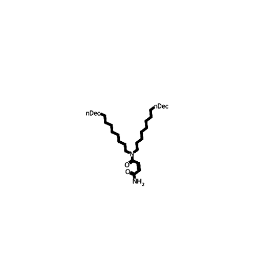 CCCCCCCCCCCCCCCCCCN(CCCCCCCCCCCCCCCCCC)C(=O)/C=C\C(N)=O